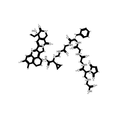 CC[C@@]1(O)C(=O)OCc2c1cc1n(c2=O)Cc2c-1nc1cc(F)c(C)c3c1c2[C@H](NC(=O)C(OCNC(=O)CNC(=O)[C@H](Cc1ccccc1)NC(=O)CNC(=O)CNC(=O)C(CNCC(=O)O)N1C(=O)C=CC1=O)C1CC1)CC3